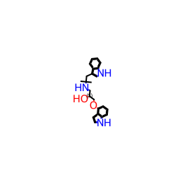 CC(C)(Cc1c[nH]c2ccccc12)NC[C@H](O)COc1cccc2[nH]ccc12